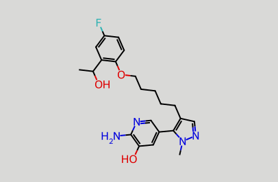 CC(O)c1cc(F)ccc1OCCCCCc1cnn(C)c1-c1cnc(N)c(O)c1